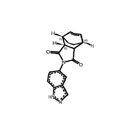 O=C1C2[C@H]3C=C[C@H](CC3)[C@H]2C(=O)N1c1ccc2[nH]ncc2c1